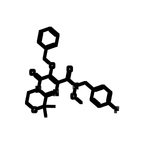 CON(Cc1ccc(F)cc1)C(=O)c1nc2n(c(=O)c1OCc1ccccc1)CCOC2(C)C